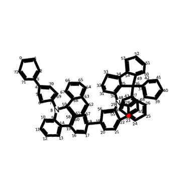 c1ccc(-c2ccc(N(c3ccccc3-c3ccc(-c4ccc5c6ccccc6n(-c6cccc7c6C(c6ccccc6)(c6ccccc6)c6ccccc6-7)c5c4)cc3)c3cccc4ccccc34)cc2)cc1